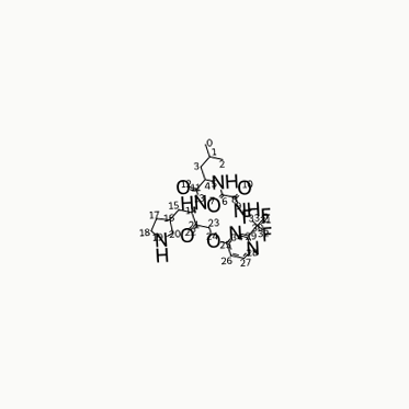 CC(C)CC(NC(=O)C(N)=O)C(=O)NC(CC1CCNC1)C(=O)COc1ccnc(C(F)(F)F)n1